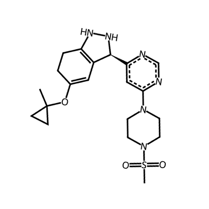 CC1(OC2=CC3=C(CC2)NN[C@H]3c2cc(N3CCN(S(C)(=O)=O)CC3)ncn2)CC1